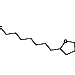 N#CCCCCCCCC1CCCO1